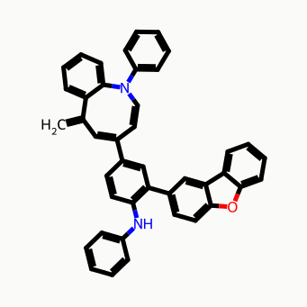 C=C1/C=C(c2ccc(Nc3ccccc3)c(-c3ccc4oc5ccccc5c4c3)c2)\C=C/N(c2ccccc2)c2ccccc21